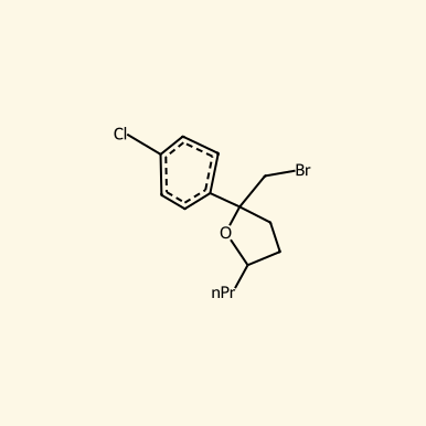 CCCC1CCC(CBr)(c2ccc(Cl)cc2)O1